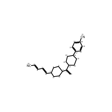 C=C(C1CCC(C=CC=CC#N)CC1)C1CCC(c2ccc(C#N)cc2)CC1